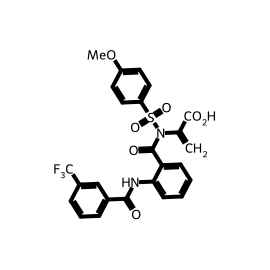 C=C(C(=O)O)N(C(=O)c1ccccc1NC(=O)c1cccc(C(F)(F)F)c1)S(=O)(=O)c1ccc(OC)cc1